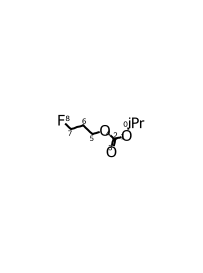 CC(C)OC(=O)OCCCF